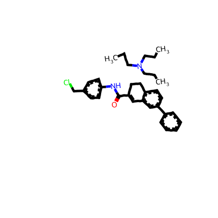 CCCN(CCC)CCC.O=C(Nc1ccc(CCl)cc1)C1=Cc2cc(-c3ccccc3)ccc2CC1